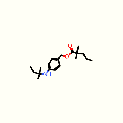 CCCC(C)(C)C(=O)OCc1ccc(NC(C)(C)CC)cc1